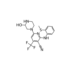 CSc1ccccc1Nc1nc(N2CCNC(O)C2)cc(C(F)(F)F)c1C#N